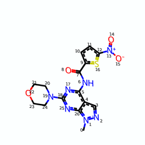 Cn1ncc2c(NC(=O)c3ccc([N+](=O)[O-])s3)nc(N3CCOCC3)nc21